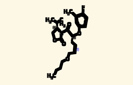 CCCCOC/C=C\C[C@@H](Oc1ccc(F)c(C)c1)C(=O)N1C(=O)OC[C@@H]1C(C)C